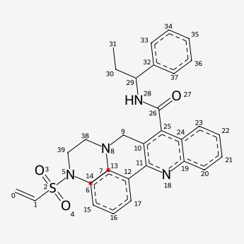 C=CS(=O)(=O)N1CCN(Cc2c(-c3ccccc3)nc3ccccc3c2C(=O)NC(CC)c2ccccc2)CC1